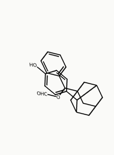 O=COC(c1ccccc1)C12CC3CC(C1)C(c1ccc(O)cc1)C(C3)C2